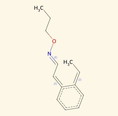 C/C=c1/cccc/c1=C/C=N/OCCC